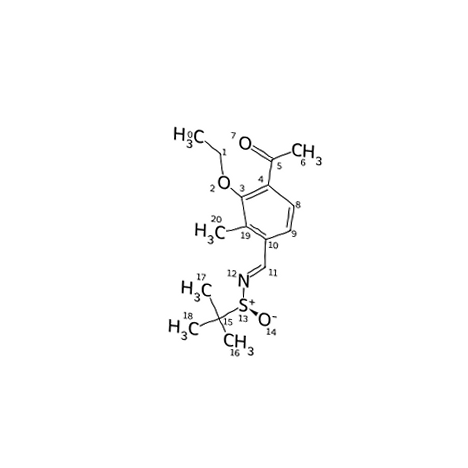 CCOc1c(C(C)=O)ccc(/C=N/[S@@+]([O-])C(C)(C)C)c1C